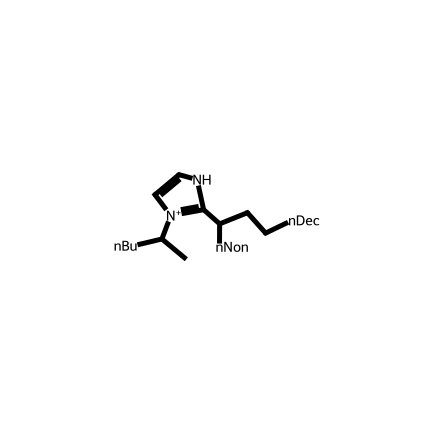 CCCCCCCCCCCCC(CCCCCCCCC)c1[nH]cc[n+]1C(C)CCCC